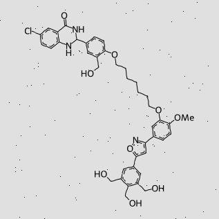 COc1ccc(-c2cc(-c3cc(CO)c(CO)c(CO)c3)on2)cc1OCCCCCCCOc1ccc(C2NC(=O)c3cc(Cl)ccc3N2)cc1CO